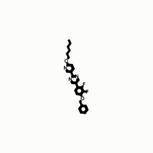 CCCCCCOc1ccc(-c2ncc(-c3ccc(OCc4ccccc4)c(F)c3F)cn2)cn1